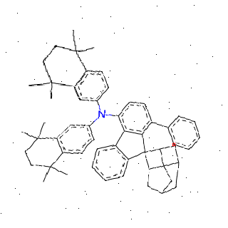 CC1(C)CCC(C)(C)c2cc(N(c3ccc4c(c3)C(C)(C)CCC4(C)C)c3ccc(-c4ccccc4)c4c3-c3ccccc3C43C4CC5CC6CC3C64C5)ccc21